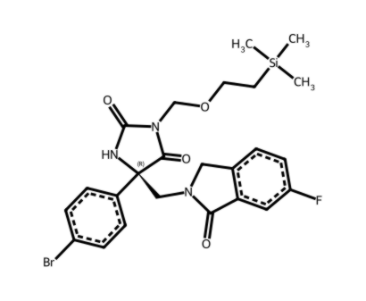 C[Si](C)(C)CCOCN1C(=O)N[C@@](CN2Cc3ccc(F)cc3C2=O)(c2ccc(Br)cc2)C1=O